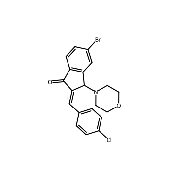 O=C1/C(=C/c2ccc(Cl)cc2)C(N2CCOCC2)c2cc(Br)ccc21